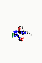 COCc1cc(N2CCN(C)CC2)ccc1Nc1ncc(C(F)(F)F)c(NCCCN2CCCOC2=O)n1